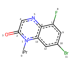 CC(C)n1c(=O)cnc2c(F)cc(Br)cc21